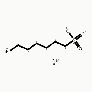 CC(C)CCCCCCS(=O)(=O)[O-].[Na+]